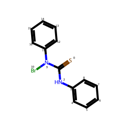 S=C(Nc1ccccc1)N(Br)c1ccccc1